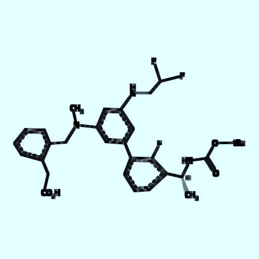 C[C@@H](NC(=O)OC(C)(C)C)c1cccc(-c2cc(NCC(F)F)cc(N(C)Cc3ccccc3CC(=O)O)c2)c1F